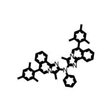 Cc1cc(C)c(-c2cn3c(C)c(N(c4ccccc4)c4nc5c6ccccc6c(-c6c(C)cc(C)cc6C)cn5c4C)nc3c3ccccc23)c(C)c1